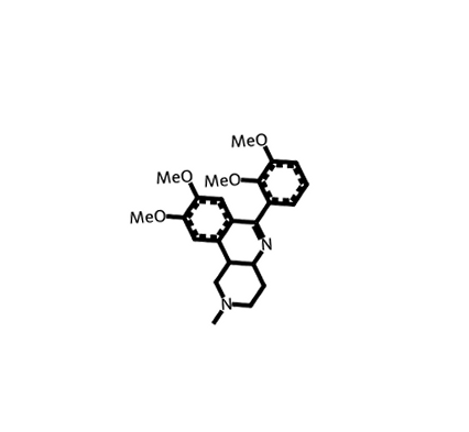 COc1cc2c(cc1OC)C1CN(C)CCC1N=C2c1cccc(OC)c1OC